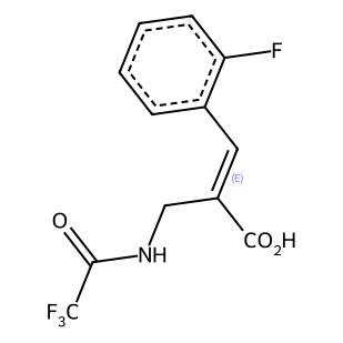 O=C(O)/C(=C/c1ccccc1F)CNC(=O)C(F)(F)F